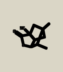 CC1C2OC(=O)C3(C#N)CC1(C)CC23